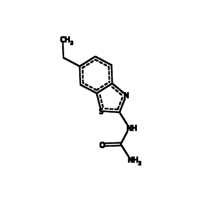 CCc1ccc2nc(NC(N)=O)sc2c1